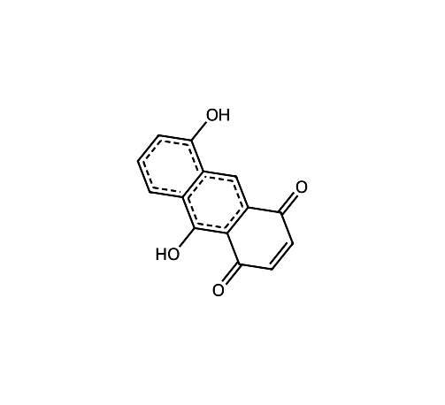 O=C1C=CC(=O)c2c1cc1c(O)cccc1c2O